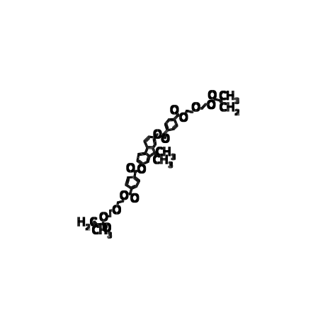 C=C(C)C(=O)OCCOCCOC(=O)c1ccc(C(=O)Oc2ccc3c(c2)C(C)(C)c2cc(OC(=O)c4ccc(C(=O)OCCOCCOC(=O)C(=C)C)cc4)ccc2-3)cc1